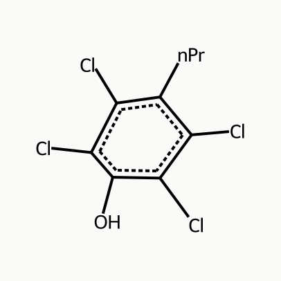 CCCc1c(Cl)c(Cl)c(O)c(Cl)c1Cl